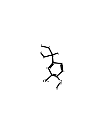 CCC(C)(CC)c1ccc(OC)c(Cl)c1